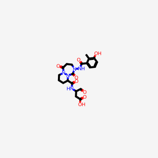 Cc1c(O)cccc1C(=O)NN1CCC(=O)N2CCCC(C(=O)NC(C=O)CC(=O)O)N2C1=O